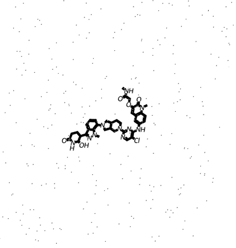 CNC(=O)COc1cc2cc(Nc3nc(N4CCC5CN(c6cccc7c(C8CCC(=O)NC8O)nn(C)c67)CC5C4)ncc3Cl)ccc2n(C)c1=O